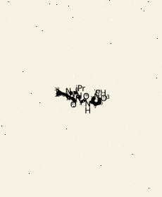 CC(C)c1nn(CC(=O)Nc2ccc(=O)n(C)c2)c(=O)c2cc(C3CC3)nn12